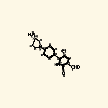 CCc1cc(C=O)c(=O)[nH]c1-c1ccc(N2CC[C@H](N)C2)cc1